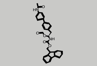 CC(=O)Nc1ccc(-c2ccc(C[C@@H](NC(=O)OCC3c4ccccc4-c4ccccc43)OC=O)cc2)cc1